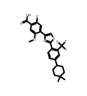 COc1cc(C(=O)O)c(F)cc1-c1csc(-c2ccc(C3CCC(C)(C)CC3)cc2C(F)(F)F)n1